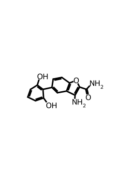 NC(=O)c1oc2ccc(-c3c(O)cccc3O)cc2c1N